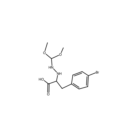 COC(NNC(Cc1ccc(Br)cc1)C(=O)O)OC